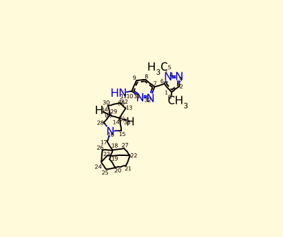 Cc1cnn(C)c1-c1ccc(N[C@@H]2C[C@@H]3CN(CC45CC6CC(CC(C6)C4)C5)C[C@@H]3C2)nn1